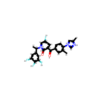 Cc1cn(-c2ccc(C(=O)c3cc(F)cn(C(C)c4cc(F)c(F)c(F)c4)c3=O)cc2C)cn1